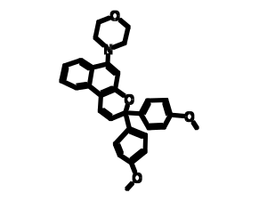 COc1ccc(C2(c3ccc(OC)cc3)C=Cc3c(cc(N4CCOCC4)c4ccccc34)O2)cc1